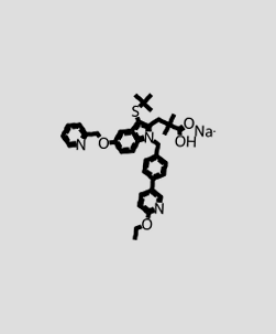 CCOc1ccc(-c2ccc(Cn3c(CC(C)(C)C(=O)O)c(SC(C)(C)C)c4cc(OCc5ccccn5)ccc43)cc2)cn1.[Na]